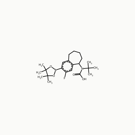 CC(C)(C)N(C(=O)O)C1CCCCc2cc(B3OC(C)(C)C(C)(C)O3)c(F)cc21